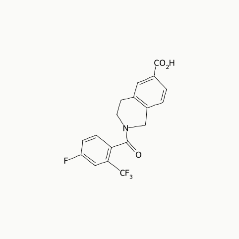 O=C(O)c1ccc2c(c1)CCN(C(=O)c1ccc(F)cc1C(F)(F)F)C2